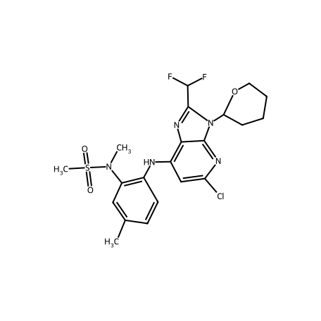 Cc1ccc(Nc2cc(Cl)nc3c2nc(C(F)F)n3C2CCCCO2)c(N(C)S(C)(=O)=O)c1